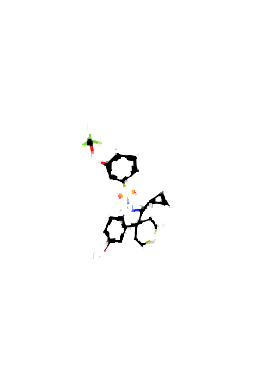 O=S(=O)(c1cccc(OC(F)(F)F)c1)N1c2ccc(Br)cc2C2(CCSCC2)C1C1CC1